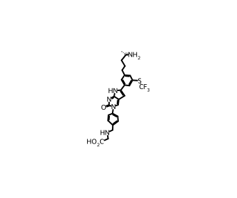 C[C@H](N)CCCc1cc(SC(F)(F)F)cc(-c2cc3cn(-c4ccc(CNCC(=O)O)cc4)c(=O)nc3[nH]2)c1